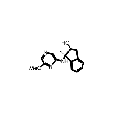 COc1cncc(N[C@]2(C)c3ccccc3C[C@@H]2O)n1